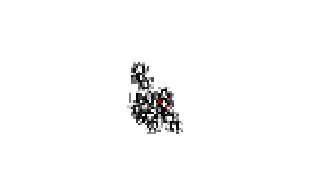 c1ccc(C2=NC(c3ccc4c(c3)oc3ccccc34)NC(c3cccc4oc5c6ccccc6c(-n6c7cc8ccccc8cc7c7cc8ccccc8cc76)cc5c34)=N2)cc1